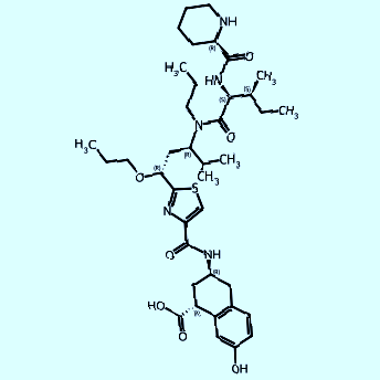 CCCO[C@H](C[C@H](C(C)C)N(CCC)C(=O)[C@@H](NC(=O)[C@H]1CCCCN1)[C@@H](C)CC)c1nc(C(=O)N[C@H]2Cc3ccc(O)cc3[C@H](C(=O)O)C2)cs1